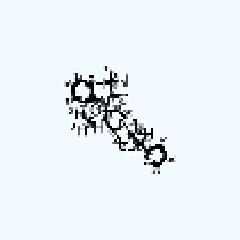 [2H]C([2H])([2H])OC1(N(C(=O)C([2H])([2H])C)c2ccccc2)CCN(C([2H])([2H])C([2H])([2H])c2cccs2)CC1